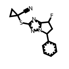 N#CC1(Sc2nc3n(n2)C(c2ccccc2)CC3F)CC1